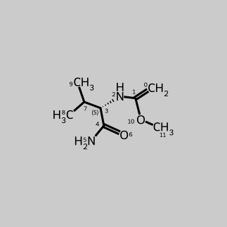 C=C(N[C@H](C(N)=O)C(C)C)OC